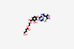 O=C(CCCO)OCCOC(=O)c1ccc(Oc2nccn3c(-c4conc4C(F)(F)F)cnc23)cc1O